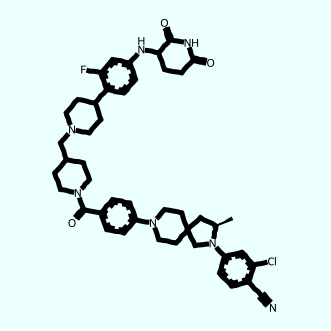 C[C@@H]1CC2(CCN(c3ccc(C(=O)N4CCC(CN5CCC(c6ccc(NC7CCC(=O)NC7=O)cc6F)CC5)CC4)cc3)CC2)CN1c1ccc(C#N)c(Cl)c1